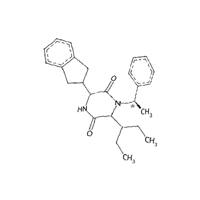 CCC(CC)C1C(=O)NC(C2Cc3ccccc3C2)C(=O)N1[C@H](C)c1ccccc1